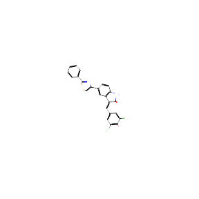 O=C1Nc2ccc(-c3csc(-c4ccccc4)n3)cc2/C1=C/c1cc(Br)c(O)c(Br)c1